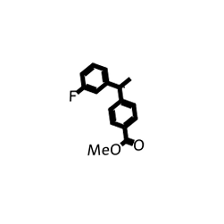 COC(=O)c1ccc([C](C)c2cccc(F)c2)cc1